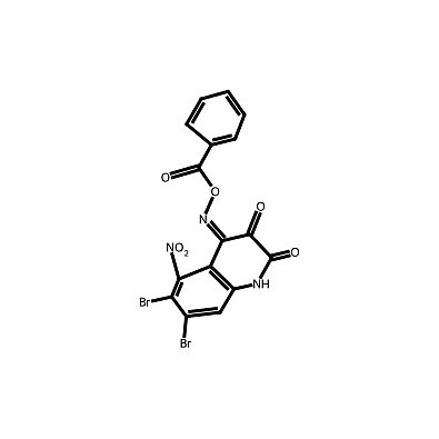 O=C1Nc2cc(Br)c(Br)c([N+](=O)[O-])c2C(=NOC(=O)c2ccccc2)C1=O